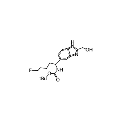 CC(C)(C)OC(=O)NC(CCCCF)c1ccc2[nH]c(CO)nc2c1